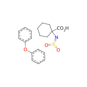 O=C(O)C1(N=S(=O)=O)CCCCC1.c1ccc(Oc2ccccc2)cc1